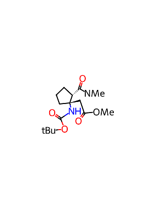 CNC(=O)[C@H]1CCC[C@@]1(CC(=O)OC)NC(=O)OC(C)(C)C